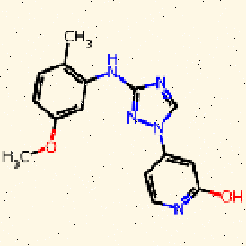 COc1ccc(C)c(Nc2ncn(-c3ccnc(O)c3)n2)c1